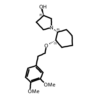 COc1ccc(CCO[C@H]2CCCC[C@H]2N2CC[C@@H](O)C2)cc1OC